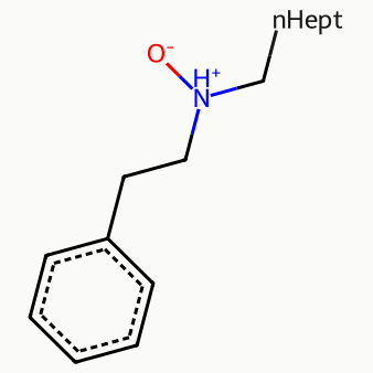 CCCCCCCC[NH+]([O-])CCc1ccccc1